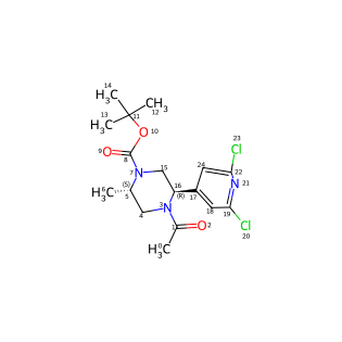 CC(=O)N1C[C@H](C)N(C(=O)OC(C)(C)C)C[C@H]1c1cc(Cl)nc(Cl)c1